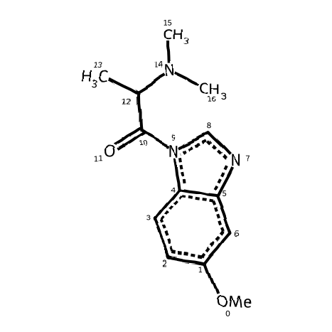 COc1ccc2c(c1)ncn2C(=O)C(C)N(C)C